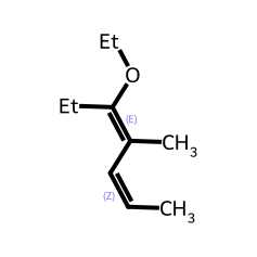 C/C=C\C(C)=C(/CC)OCC